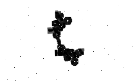 CN1CCN(C(C(=O)N2CCC[C@H]2C(=O)Nc2ccc(C#Cc3ccc(NC(=O)[C@@H]4CCCN4C(=O)C(c4ccccc4)N4CCN(C)CC4)cc3)cc2)c2ccccc2)CC1